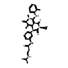 CC(=O)NCCC(=O)Nc1cccc(-n2c(=O)n(C3CC3)c(=O)c3c(Nc4ccccc4F)n(C)c(=O)c(C)c32)c1